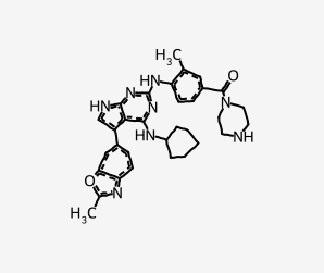 Cc1nc2ccc(-c3c[nH]c4nc(Nc5ccc(C(=O)N6CCNCC6)cc5C)nc(NC5CCCCC5)c34)cc2o1